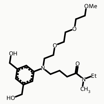 CCN(C)C(=O)CCCN(CCOCCOCCOC)c1cc(CO)cc(CO)c1